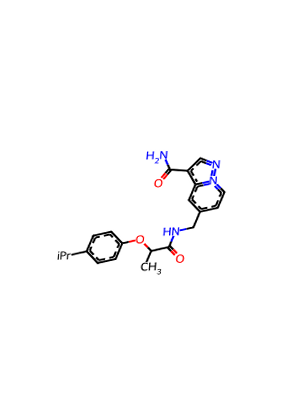 CC(Oc1ccc(C(C)C)cc1)C(=O)NCc1ccn2ncc(C(N)=O)c2c1